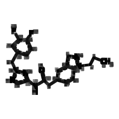 CCCn1ncc2cc(CC(=O)Nc3cnn(Cc4ccc(F)c(F)c4)n3)ccc21